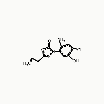 C=CCc1nn(-c2cc(O)c(Cl)cc2N)c(=O)o1